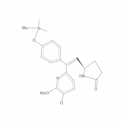 COc1nc(/C(=C\[C@H]2CCC(=O)N2)c2ccc(O[Si](C)(C)C(C)(C)C)cc2)ccc1Cl